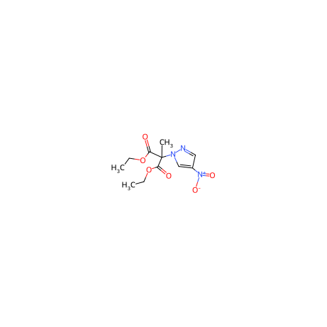 CCOC(=O)C(C)(C(=O)OCC)n1cc([N+](=O)[O-])cn1